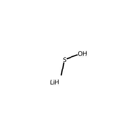 CSO.[LiH]